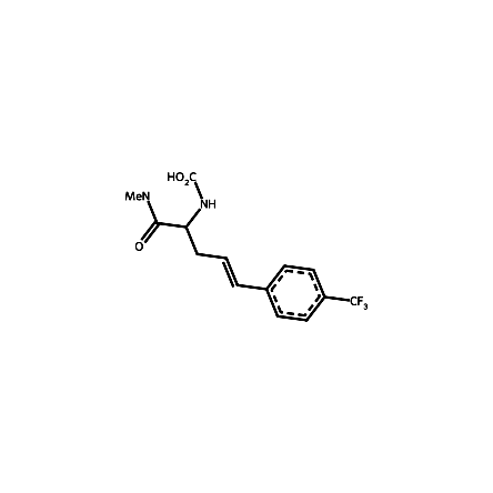 CNC(=O)C(C/C=C/c1ccc(C(F)(F)F)cc1)NC(=O)O